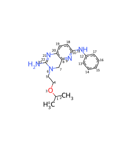 CC(C)OCCN1Cc2nc(Nc3ccccc3)ccc2N=C1N